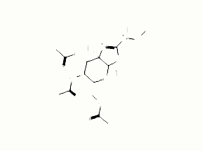 CONC1=N[C@@H]2[C@@H](OC(C)=O)[C@H](OC(C)=O)[C@@H](COC(C)=O)O[C@@H]2S1